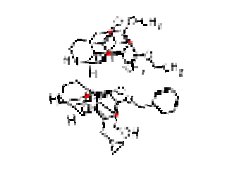 CCOC(=O)C[C@H]1C[C@@]2(O)[C@H]3Cc4c(C)cc(OC)cc4[C@@]2(CCN3)CC1=O.O=C1C[C@]23CCN[C@H](Cc4c(CC5CC5)cc(OCc5ccccc5)cc42)[C@]3(O)C[C@@H]1CCO